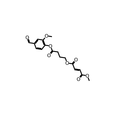 COC(=O)C=CC(=O)OCCCC(=O)Oc1ccc(C=O)cc1OC